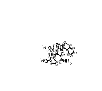 CC1(C)C[C@@H]2c3cc(O)ccc3C[C@H](N)C(=O)N2[C@H]1C(=O)N[C@@H]1CCCc2ccccc21